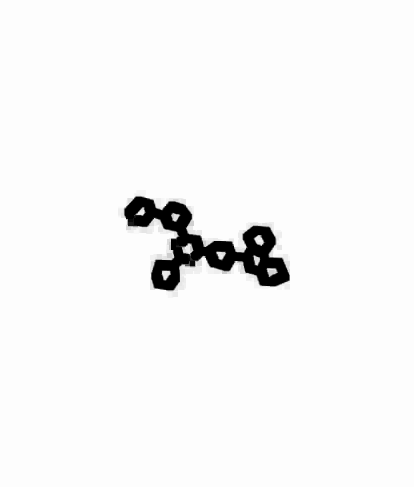 C1=Cc2c(c(-c3ccc(-c4cc(-c5cccc(-c6cccnc6)c5)nc(-c5ccccc5)n4)cc3)cc3ccccc23)CC1